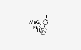 CCC(=NOC)C1=C(c2ccc(I)cc2)CC2CC[C@H]1C2